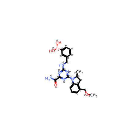 COCc1cccc2c1CC(C)N2c1nc(NCc2cccc(B(O)O)c2)nc(C(N)=O)n1